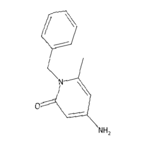 Cc1cc(N)cc(=O)n1Cc1ccccc1